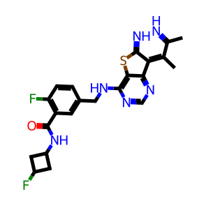 CC(=N)/C(C)=C1\C(=N)Sc2c(NCc3ccc(F)c(C(=O)NC4CC(F)C4)c3)ncnc21